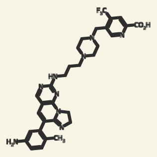 Cc1ccc(N)cc1C1=Cc2cnc(NCCCN3CCN(Cc4cnc(C(=O)O)cc4C(F)(F)F)CC3)nc2N2CCN=C12